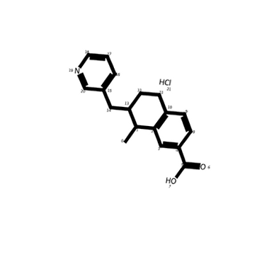 CC1c2cc(C(=O)O)ccc2CCC1Cc1cccnc1.Cl